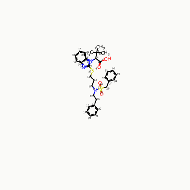 CC(C)(C)C(C(=O)O)n1c(SCCCN(CCc2ccccc2)S(=O)(=O)Cc2ccccc2)nc2ccccc21